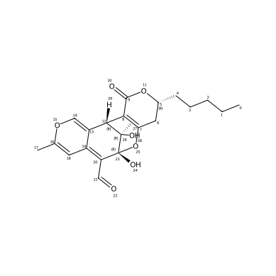 CCCCC[C@@H]1CC2=C(C(=O)O1)[C@H]1C3=COC(C)=CC3=C(C=O)[C@@](O)(O2)[C@]1(C)O